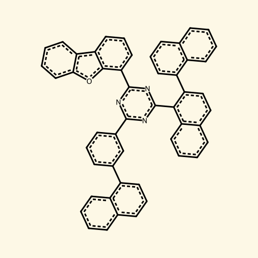 c1cc(-c2nc(-c3c(-c4cccc5ccccc45)ccc4ccccc34)nc(-c3cccc4c3oc3ccccc34)n2)cc(-c2cccc3ccccc23)c1